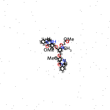 COC(=O)CCC(=O)N(C)c1cc(COc2cc3c(cc2OC)C(=O)N2c4ccccc4C[C@H]2C=N3)cc(COc2cc3c(cc2OC)C(=O)N2c4ccccc4C[C@H]2CN3)c1